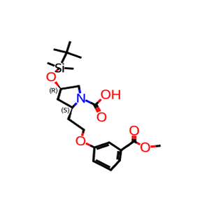 COC(=O)c1cccc(OCC[C@H]2C[C@@H](O[Si](C)(C)C(C)(C)C)CN2C(=O)O)c1